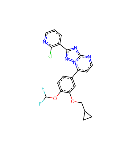 FC(F)Oc1ccc(-c2ccnc3nc(-c4cccnc4Cl)nn23)cc1OCC1CC1